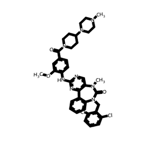 COc1cc(C(=O)N2CCC(N3CCN(C)CC3)CC2)ccc1Nc1ncc2c(n1)-c1ccccc1N(Cc1c(Cl)cccc1Cl)C(=O)N2C